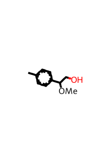 COC(CO)c1ccc(C)cc1